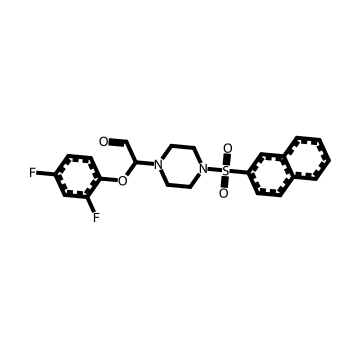 O=CC(Oc1ccc(F)cc1F)N1CCN(S(=O)(=O)c2ccc3ccccc3c2)CC1